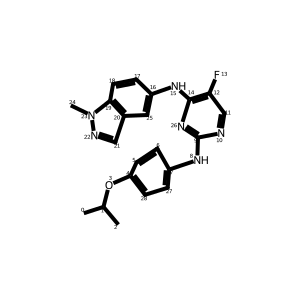 CC(C)Oc1ccc(Nc2ncc(F)c(Nc3ccc4c(cnn4C)c3)n2)cc1